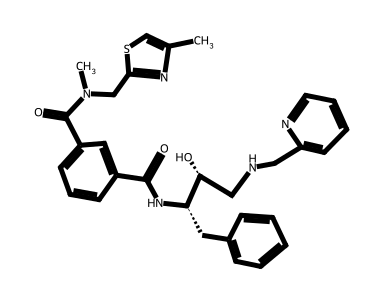 Cc1csc(CN(C)C(=O)c2cccc(C(=O)N[C@@H](Cc3ccccc3)[C@H](O)CNCc3ccccn3)c2)n1